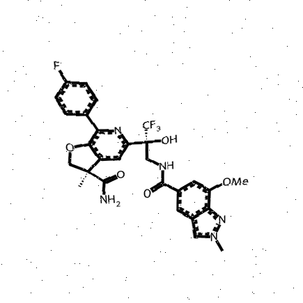 COc1cc(C(=O)NC[C@](O)(c2cc3c(c(-c4ccc(F)cc4)n2)OC[C@]3(C)C(N)=O)C(F)(F)F)cc2cn(C)nc12